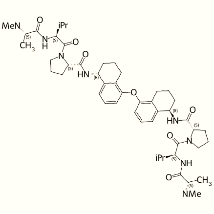 CN[C@@H](C)C(=O)N[C@H](C(=O)N1CCC[C@H]1C(=O)N[C@@H]1CCCc2c(Oc3cccc4c3CCC[C@H]4NC(=O)[C@@H]3CCCN3C(=O)[C@@H](NC(=O)[C@H](C)NC)C(C)C)cccc21)C(C)C